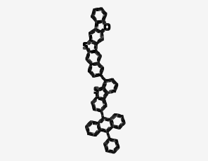 c1ccc(-c2c3ccccc3c(-c3ccc4sc5c(-c6ccc7cc8sc9cc%10c(cc9c8cc7c6)oc6ccccc6%10)cccc5c4c3)c3ccccc23)cc1